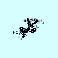 N=C(N)NCCC[C@H](NC(=O)[C@@H](N)CCCNC(=N)N)C(=O)N[C@@H](Cc1ccc2ccccc2c1)C(=O)N[C@@H](Cc1ccccc1)C(=O)N[C@@H](CCC(N)=O)C(=O)O